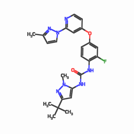 Cc1ccn(-c2cc(Oc3ccc(NC(=O)Nc4cc(C(C)(C)C)nn4C)c(F)c3)ccn2)n1